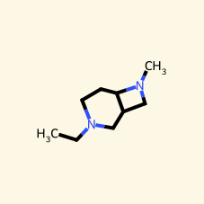 CCN1CCC2C(C1)CN2C